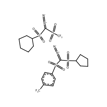 [N-]=[N+]=C(S(=O)(=O)C1CCCCC1)S(=O)(=O)C(F)(F)F.[N-]=[N+]=C(S(=O)(=O)c1ccc(C(F)(F)F)cc1)S(=O)(=O)C1CCCC1